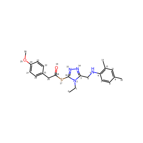 CCn1c(CNc2ccc(C)cc2C)nnc1SC(=O)Cc1ccc(OC)cc1